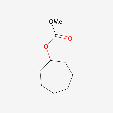 COC(=O)OC1CCCCCC1